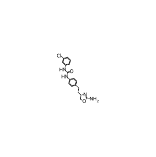 NC1=NC(CCc2ccc(NC(=O)Nc3cccc(Cl)c3)cc2)CO1